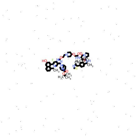 CCc1cccc2cc(O)cc(-c3ncc4c(N5CC6CCCC5CN6C(=O)OC(C)(C)C)nc(OCCN5CCC(OCC(=O)N[C@H](C(=O)N6CCC[C@H]6C(=O)N[C@@H](C)c6ccc(-c7scnc7C)cc6)C(C)(C)C)CC5)nc4c3F)c12